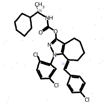 C[C@H](NC(=O)Oc1nn(-c2cc(Cl)ccc2Cl)c2c1CCCC/C2=C\c1ccc(Cl)cc1)C1CCCCC1